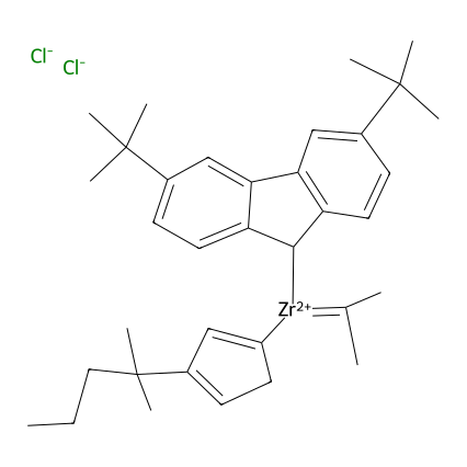 CCCC(C)(C)C1=CC[C]([Zr+2](=[C](C)C)[CH]2c3ccc(C(C)(C)C)cc3-c3cc(C(C)(C)C)ccc32)=C1.[Cl-].[Cl-]